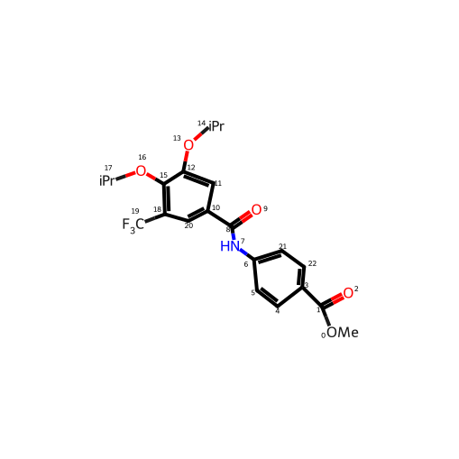 COC(=O)c1ccc(NC(=O)c2cc(OC(C)C)c(OC(C)C)c(C(F)(F)F)c2)cc1